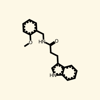 COc1ccccc1CNC(=O)CCc1c[nH]c2ccccc12